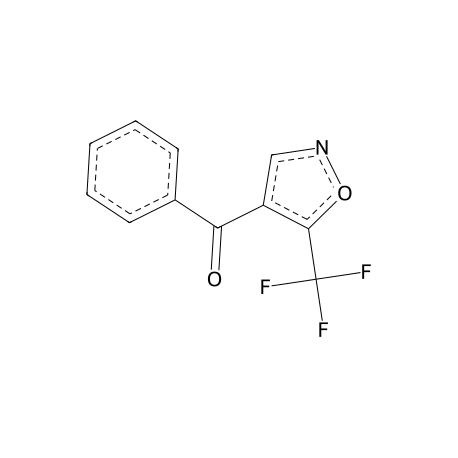 O=C(c1ccccc1)c1cnoc1C(F)(F)F